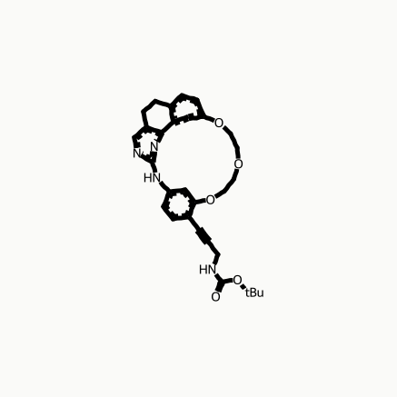 CC(C)(C)OC(=O)NCC#Cc1ccc2cc1OCCOCCOc1ccc3c(c1)-c1nc(ncc1CC3)N2